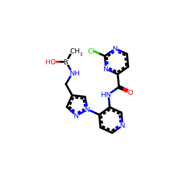 CB(O)NCc1cnn(-c2ccncc2NC(=O)c2ccnc(Cl)n2)c1